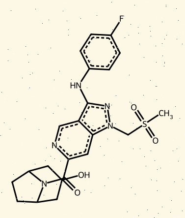 CS(=O)(=O)Cn1nc(Nc2ccc(F)cc2)c2cnc(C(=O)N3C4CCC3CC(O)C4)cc21